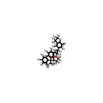 [2H]c1c([2H])c([2H])c(C(C(=O)N([2H])[2H])(c2c([2H])c([2H])c([2H])c([2H])c2[2H])[C@@]2([2H])C([2H])([2H])N(C([2H])([2H])C([2H])([2H])c3c([2H])c([2H])c4c(c3[2H])C([2H])([2H])C([2H])([2H])O4)C([2H])([2H])C2([2H])[2H])c([2H])c1[2H]